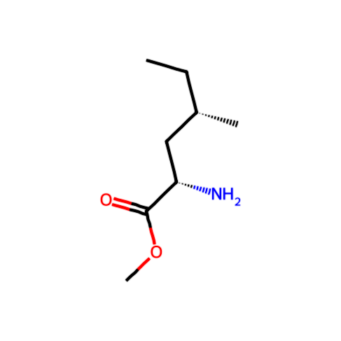 CC[C@H](C)C[C@H](N)C(=O)OC